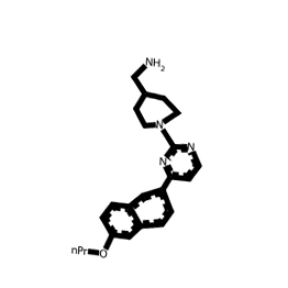 CCCOc1ccc2cc(-c3ccnc(N4CCC(CN)CC4)n3)ccc2c1